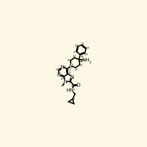 Cn1c(C(=O)NCC2CC2)nc2c(N3CCC(N)(c4ccccc4)CC3)ncnc21